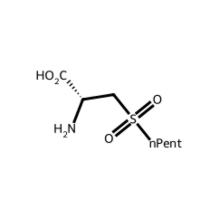 CCCCCS(=O)(=O)C[C@H](N)C(=O)O